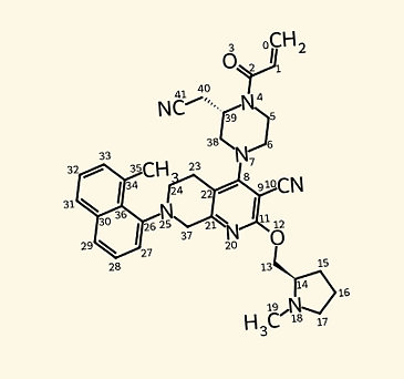 C=CC(=O)N1CCN(c2c(C#N)c(OC[C@H]3CCCN3C)nc3c2CCN(c2cccc4cccc(C)c24)C3)C[C@@H]1CC#N